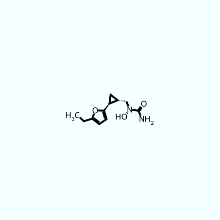 CCc1ccc([C@H]2C[C@@H]2CN(O)C(N)=O)o1